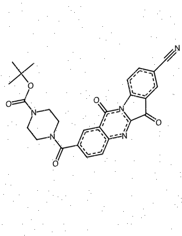 CC(C)(C)OC(=O)N1CCN(C(=O)c2ccc3nc4n(c(=O)c3c2)-c2ccc(C#N)cc2C4=O)CC1